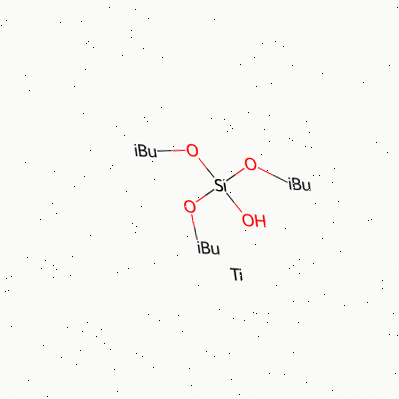 CCC(C)O[Si](O)(OC(C)CC)OC(C)CC.[Ti]